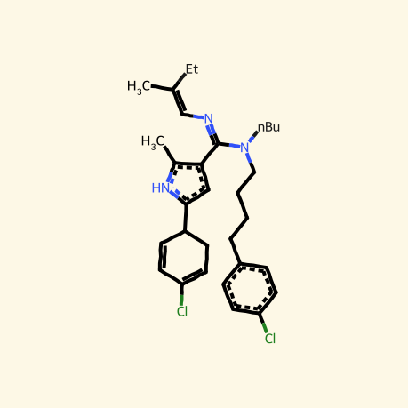 CCCCN(CCCCc1ccc(Cl)cc1)/C(=N/C=C(/C)CC)c1cc(C2C=CC(Cl)=CC2)[nH]c1C